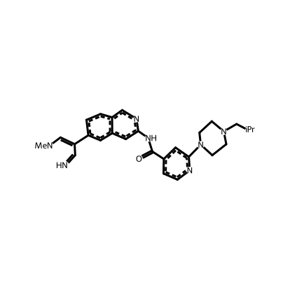 CN/C=C(\C=N)c1ccc2cnc(NC(=O)c3ccnc(N4CCN(CC(C)C)CC4)c3)cc2c1